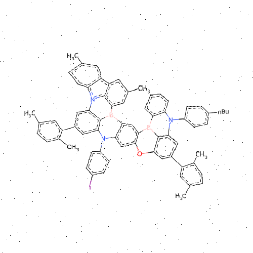 CCCCc1ccc(N2c3ccccc3B3c4cc5c(cc4Oc4cc(-c6cc(C)ccc6C)cc2c43)N(c2ccc(I)cc2)c2cc(-c3cc(C)ccc3C)cc3c2B5c2cc(C)cc4c5cc(C)ccc5n-3c24)cc1